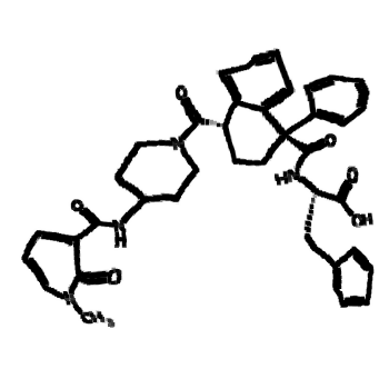 Cn1cccc(C(=O)NC2CCN(C(=O)[C@H]3CC[C@@](C(=O)N[C@@H](Cc4ccccc4)C(=O)O)(c4ccccc4)c4ccccc43)CC2)c1=O